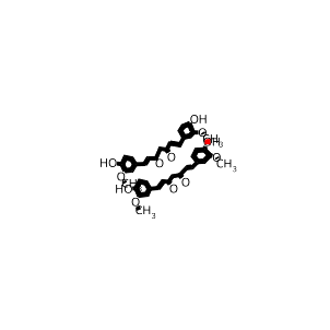 COc1cc(C=CC(=O)CC(=O)C=Cc2ccc(O)c(OC)c2)ccc1O.COc1cc(C=CC(=O)CC(=O)C=Cc2ccc(O)c(OC)c2)ccc1O